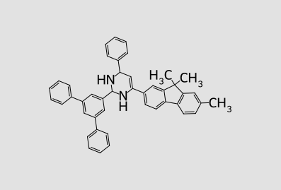 Cc1ccc2c(c1)C(C)(C)c1cc(C3=CC(c4ccccc4)NC(c4cc(-c5ccccc5)cc(-c5ccccc5)c4)N3)ccc1-2